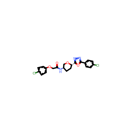 O=C(COc1ccc(Cl)cc1)N[C@@H]1CC[C@@H](c2nnc(-c3ccc(Cl)cc3)o2)OC1